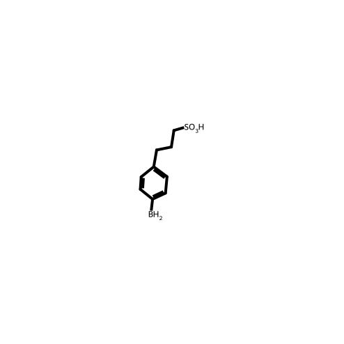 Bc1ccc(CCCS(=O)(=O)O)cc1